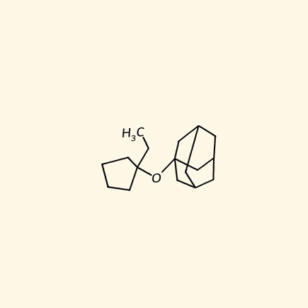 CCC1(OC23CC4CC(CC(C4)C2)C3)CCCC1